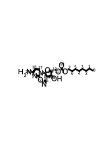 CCCCCCCCOC(=O)OC[C@H]1OC(n2ccc(N)nc2=O)[C@@H](C#N)[C@@H]1O